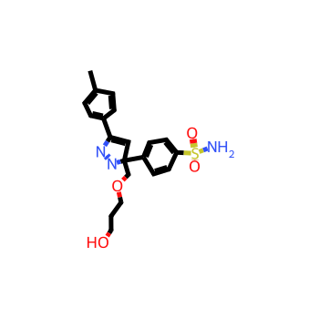 Cc1ccc(C2=CC(COCCCO)(c3ccc(S(N)(=O)=O)cc3)N=N2)cc1